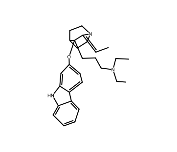 CC=C1N2CCC(CC2)C1(CCCN(CC)CC)Oc1ccc2c(c1)[nH]c1ccccc12